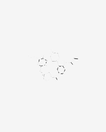 C=CC(=O)Nc1ccc(C(=O)N2CC[C@@H](Nc3ncc(Cl)c(OCC)n3)C2)cc1N1CCN(C)CC1